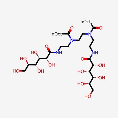 CCCCCCCCC(=O)N(CCNC(=O)[C@H](O)[C@@H](O)[C@H](O)[C@H](O)CO)CCN(CCNC(=O)[C@H](O)[C@@H](O)[C@H](O)[C@H](O)CO)C(=O)CCCCCCCC